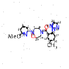 COc1cccc(N2CCN(C(=O)c3cc(C)ccc3-n3nccn3)CCO2)n1